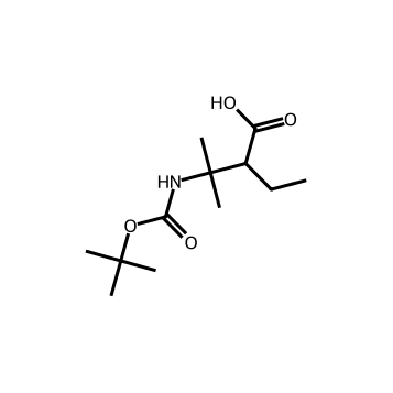 CCC(C(=O)O)C(C)(C)NC(=O)OC(C)(C)C